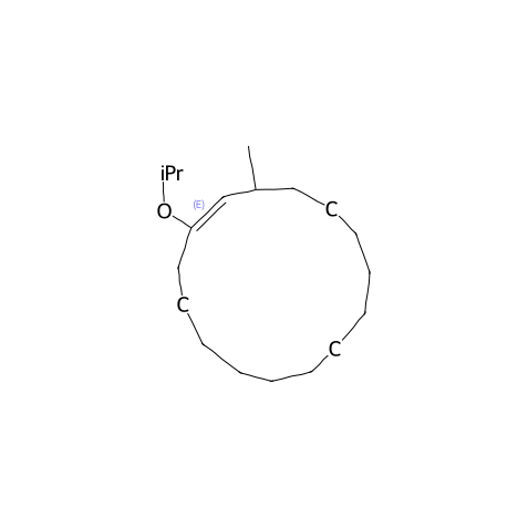 CC1/C=C(/OC(C)C)CCCCCCCCCCCC1